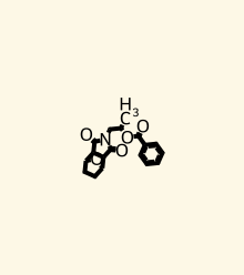 CC(CN1C(=O)C2C3CCC(O3)C2C1=O)OC(=O)c1ccccc1